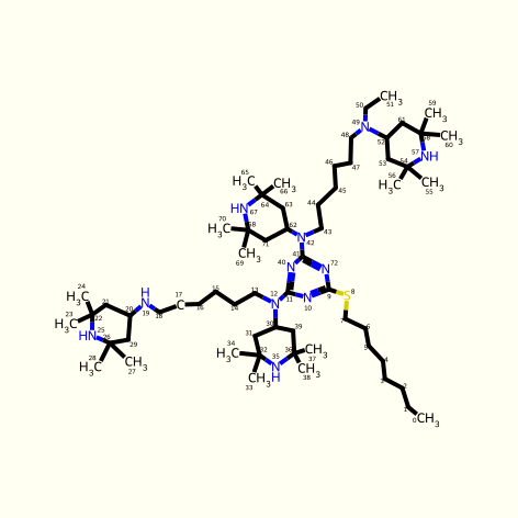 CCCCCCCCSc1nc(N(CCCCCCNC2CC(C)(C)NC(C)(C)C2)C2CC(C)(C)NC(C)(C)C2)nc(N(CCCCCCN(CC)C2CC(C)(C)NC(C)(C)C2)C2CC(C)(C)NC(C)(C)C2)n1